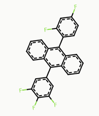 Fc1ccc(-c2c3ccccc3c(-c3cc(F)c(F)c(F)c3)c3ccccc23)c(F)c1